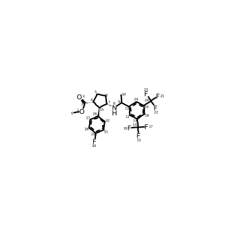 COC(=O)[C@@H]1CC[C@H](NC(C)c2cc(C(F)(F)F)cc(C(F)(F)F)c2)[C@H]1c1ccc(F)cc1